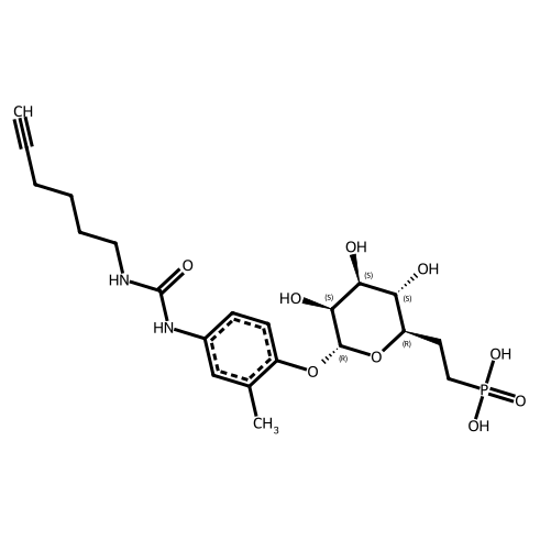 C#CCCCCNC(=O)Nc1ccc(O[C@H]2O[C@H](CCP(=O)(O)O)[C@@H](O)[C@H](O)[C@@H]2O)c(C)c1